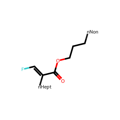 CCCCCCCCCCCCOC(=O)C(=CF)CCCCCCC